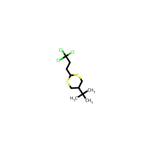 CC(C)(C)C1CSC(CCC(Cl)(Cl)Cl)SC1